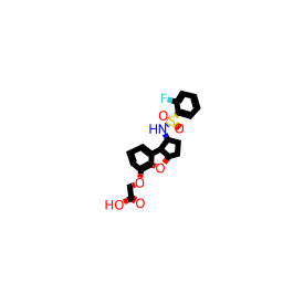 O=C(O)COc1cccc2c1OC1CCC(NS(=O)(=O)c3ccccc3F)C21